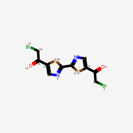 O=C(CBr)c1cnc(-c2ncc(C(=O)CBr)s2)s1